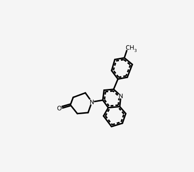 Cc1ccc(-c2cc(N3CCC(=O)CC3)c3ccccc3n2)cc1